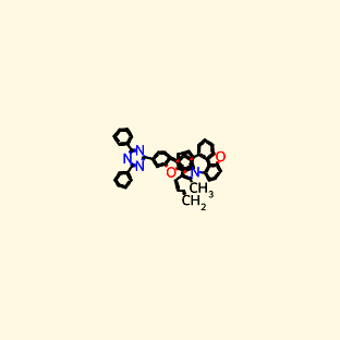 C=C/C=C\c1c(C)n(-c2cccc3oc4cccc(-c5ccc6oc7cc(-c8nc(-c9ccccc9)nc(-c9ccccc9)n8)ccc7c6c5)c4c23)c2ccccc12